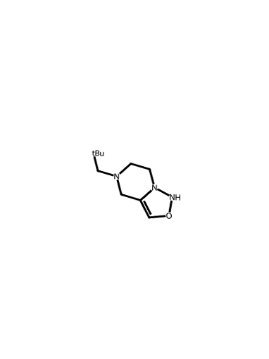 CC(C)(C)CN1CCN2NOC=C2C1